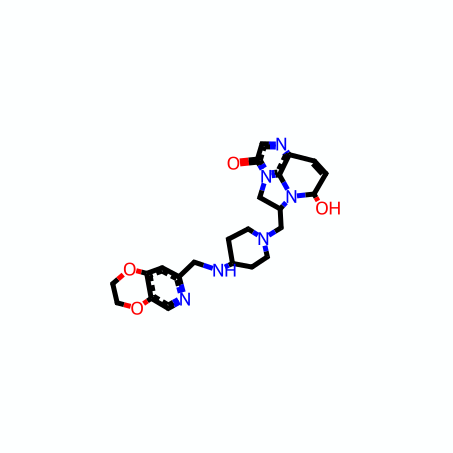 O=c1cnc2c3n1CC(CN1CCC(NCc4cc5c(cn4)OCCO5)CC1)N3C(O)C=C2